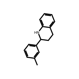 Cc1cccc(C2CCc3ccccc3N2)c1